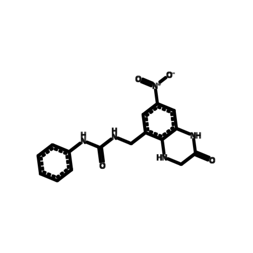 O=C1CNc2c(CNC(=O)Nc3ccccc3)cc([N+](=O)[O-])cc2N1